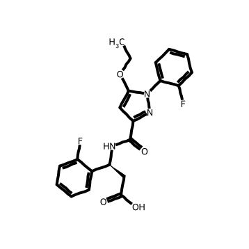 CCOc1cc(C(=O)N[C@@H](CC(=O)O)c2ccccc2F)nn1-c1ccccc1F